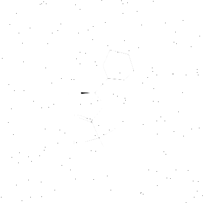 C[C@H](OC(=O)C(C)(C)Cl)C1CCCCC1